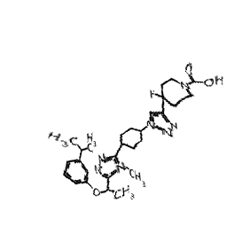 CC(C)c1cccc(O[C@H](C)c2nnc(C3CCC(n4cc(C5(F)CCN(C(=O)O)CC5)nn4)CC3)n2C)c1